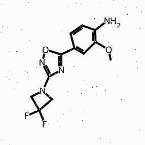 COc1cc(-c2nc(N3CC(F)(F)C3)no2)ccc1N